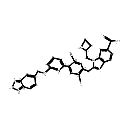 O=C(O)c1ccc2nc(Cc3cc(F)c(-c4cccc(OCc5ccc6nsnc6c5)n4)cc3F)n(CC3CCO3)c2c1